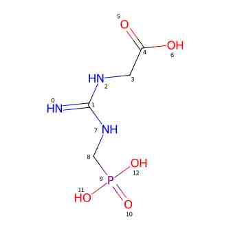 N=C(NCC(=O)O)NCP(=O)(O)O